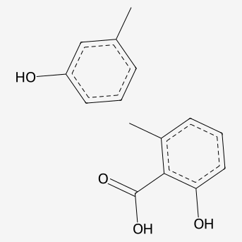 Cc1cccc(O)c1.Cc1cccc(O)c1C(=O)O